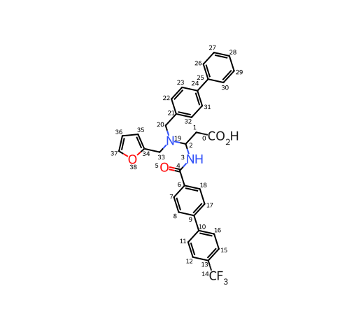 O=C(O)CC(NC(=O)c1ccc(-c2ccc(C(F)(F)F)cc2)cc1)N(Cc1ccc(-c2ccccc2)cc1)Cc1ccco1